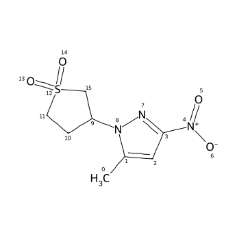 Cc1cc([N+](=O)[O-])nn1C1CCS(=O)(=O)C1